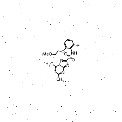 COCCOc1cccc(F)c1NS(=O)(=O)c1nc2nc(C)cc(C)n2n1